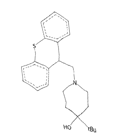 CC(C)(C)C1(O)CCN(CC2c3ccccc3Sc3ccccc32)CC1